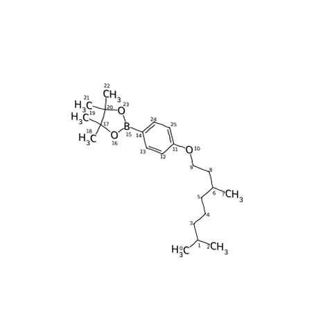 CC(C)CCCC(C)CCOc1ccc(B2OC(C)(C)C(C)(C)O2)cc1